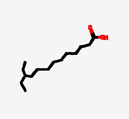 CCC(CC)CCCCCCCCCC(=O)O